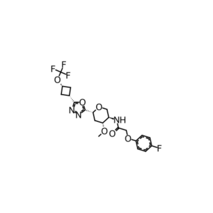 CO[C@@H]1C[C@H](c2nnc([C@H]3C[C@@H](OC(F)(F)F)C3)o2)OC[C@H]1NC(=O)COc1ccc(F)cc1